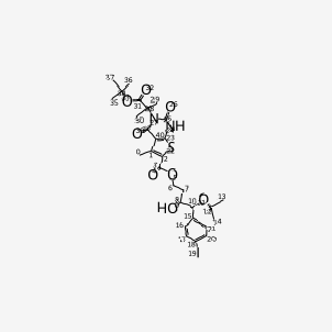 Cc1c(C(=O)OCCC(O)C(OC(C)C)c2ccc(I)cc2)sc2[nH]c(=O)n(C(C)(C)C(=O)OC(C)(C)C)c(=O)c12